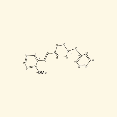 COc1ccccc1/C=C/C1=CCN(Cc2ccccc2)CC1